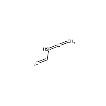 C=C=[SiH]C=C